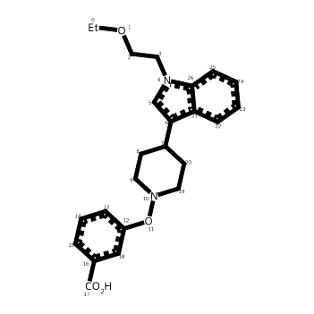 CCOCCn1cc(C2CCN(Oc3cccc(C(=O)O)c3)CC2)c2ccccc21